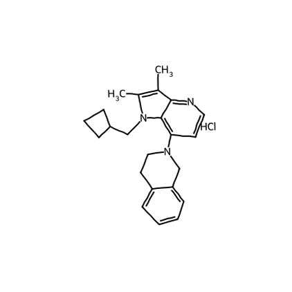 Cc1c(C)n(CC2CCC2)c2c(N3CCc4ccccc4C3)ccnc12.Cl